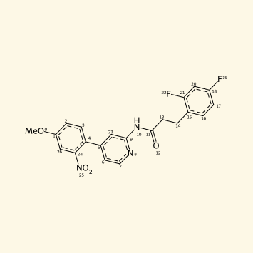 COc1ccc(-c2ccnc(NC(=O)CCc3ccc(F)cc3F)c2)c([N+](=O)[O-])c1